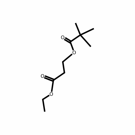 CCOC(=O)CCOC(=O)C(C)(C)C